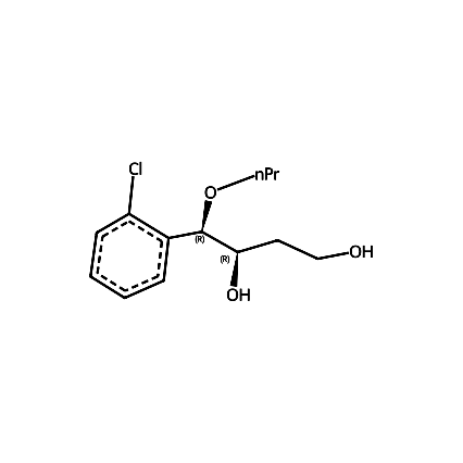 CCCO[C@H](c1ccccc1Cl)[C@H](O)CCO